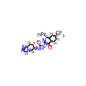 CCCc1nn(CC(=O)Nc2ccc3nncn3c2)c(=O)c2ccc(C(F)(F)F)cc12